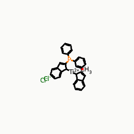 CC1=Cc2ccccc2[CH]1[Ti+2][CH]1C(P(c2ccccc2)c2ccccc2)=Cc2ccccc21.[Cl-].[Cl-]